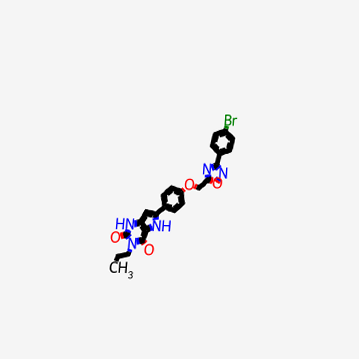 CCCn1c(=O)[nH]c2cc(-c3ccc(OCc4nc(-c5ccc(Br)cc5)no4)cc3)[nH]c2c1=O